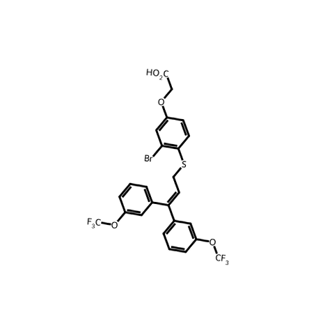 O=C(O)COc1ccc(SCC=C(c2cccc(OC(F)(F)F)c2)c2cccc(OC(F)(F)F)c2)c(Br)c1